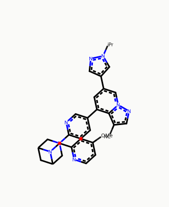 COc1ccnc(CN2C3CC2CN(c2ccc(-c4cc(-c5cnn(C(C)C)c5)cn5ncc(C#N)c45)cn2)C3)c1